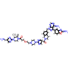 NCc1cnc(N2CCN(C(=O)CCOCCN3CCN(c4ncc(C(=O)N5CCc6cc(Cn7nc(-c8ccc9oc(N)nc9c8)c8c(N)ncnc87)ccc6C5)cn4)CC3)C(C(=O)O)C2)nc1